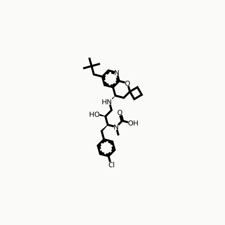 CN(C(=O)O)[C@@H](Cc1ccc(Cl)cc1)[C@@H](O)CN[C@H]1CC2(CCC2)Oc2ncc(CC(C)(C)C)cc21